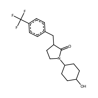 O=C1C(Cc2ccc(C(F)(F)F)cc2)CCN1C1CCC(O)CC1